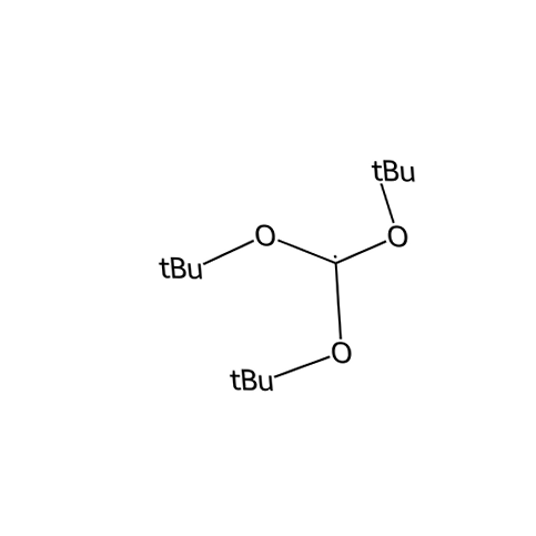 CC(C)(C)O[C](OC(C)(C)C)OC(C)(C)C